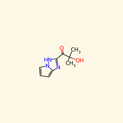 CC(C)(O)C(=O)c1nc2cccn2[nH]1